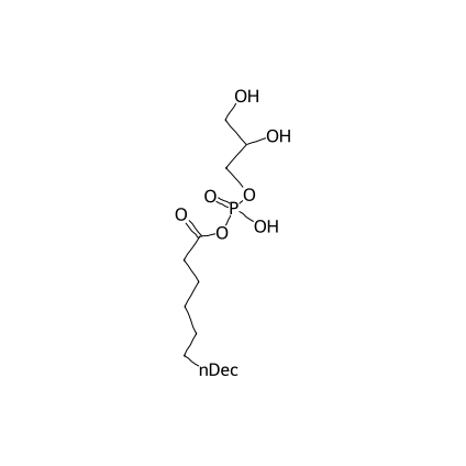 CCCCCCCCCCCCCCCC(=O)OP(=O)(O)OCC(O)CO